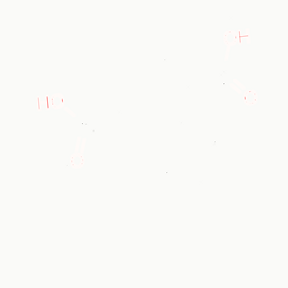 [CH2]C([CH2])([CH2])Cc1cc(C(=O)O)ccc1C(=O)O